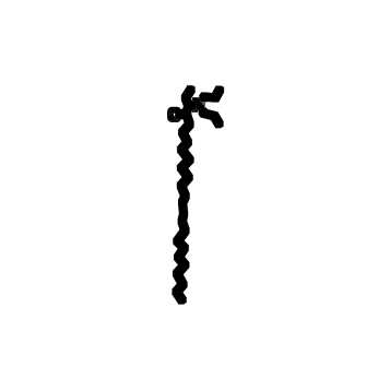 CCCCCCCCCCCCCCCCCCCCCC(=O)C(CC)N(CCC)CCC